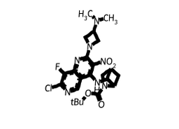 CN(C)C1CN(c2nc3c(F)c(Cl)ncc3c(NC3C4CC3N(C(=O)OC(C)(C)C)C4)c2[N+](=O)[O-])C1